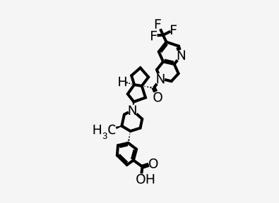 C[C@H]1CN([C@@H]2C[C@H]3CCC[C@@]3(C(=O)N3CCc4ncc(C(F)(F)F)cc4C3)C2)CC[C@@H]1c1cccc(C(=O)O)c1